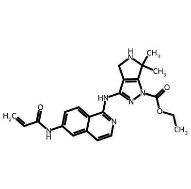 C=CC(=O)Nc1ccc2c(Nc3nn(C(=O)OCC)c4c3CNC4(C)C)nccc2c1